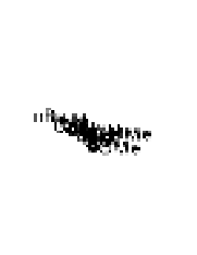 CCCCC(=O)Nc1cccc(S(=O)(=O)NC2N=c3ccccc3=NC2(C)Nc2cc(OC)cc(OC)c2)c1